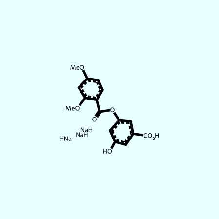 COc1ccc(C(=O)Oc2cc(O)cc(C(=O)O)c2)c(OC)c1.[NaH].[NaH].[NaH]